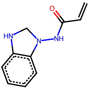 C=CC(=O)NN1CNc2ccccc21